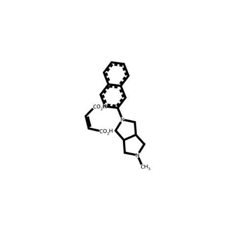 CN1CC2CN(c3cc4ccccc4cn3)CC2C1.O=C(O)/C=C\C(=O)O